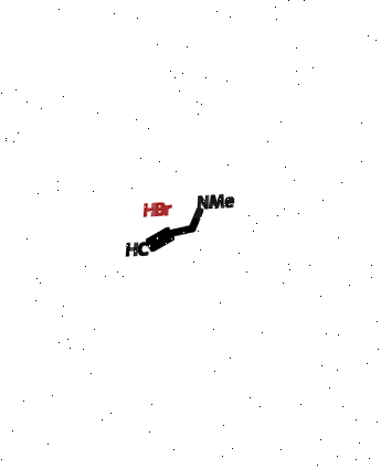 Br.C#CCNC